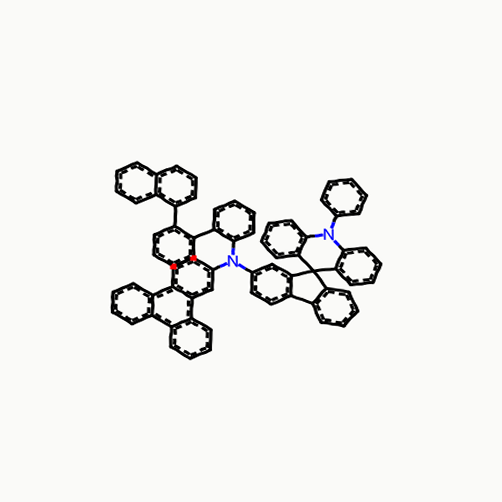 c1ccc(N2c3ccccc3C3(c4ccccc4-c4ccc(N(c5ccc6c7ccccc7c7ccccc7c6c5)c5ccccc5-c5ccccc5-c5cccc6ccccc56)cc43)c3ccccc32)cc1